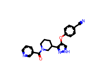 N#Cc1ccc(Oc2c[nH]nc2C2CCCN(C(=O)c3cccnc3)C2)cc1